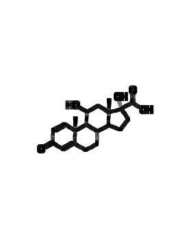 C[C@]12C=CC(=O)C=C1CCC1C2C(O)C[C@@]2(C)C1CC[C@]2(O)C(=O)O